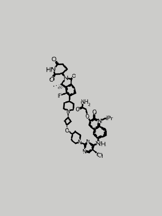 CC(C)n1c(=O)c(OCC(N)=O)cc2cc(Nc3nc(N4CCC(O[C@H]5C[C@H](N6CCC(c7ccc8c(c7F)[C@H](C)N(C7CCC(=O)NC7=O)C8=O)CC6)C5)CC4)ncc3Cl)ccc21